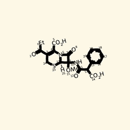 CCC(=O)C1=C(C(=O)O)N2C(=O)C(NC(=O)C(C(=O)O)c3ccccc3)(OC)[C@H]2SC1